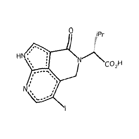 CC(C)[C@H](C(=O)O)N1Cc2c(I)cnc3[nH]cc(c23)C1=O